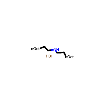 Br.CCCCCCCCCCNCCCCCCCCCC